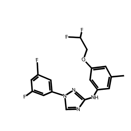 Cc1cc(Nc2ncn(-c3cc(F)cc(F)c3)n2)cc(OCC(F)F)c1